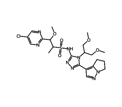 COCC(COC)n1c(NS(=O)(=O)C(C)C(OC)c2ncc(Cl)cn2)nnc1-c1cnn2c1CCC2